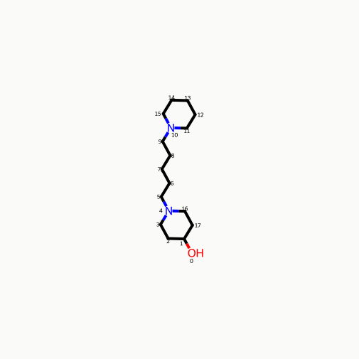 OC1CCN(CC[CH]CCN2CCCCC2)CC1